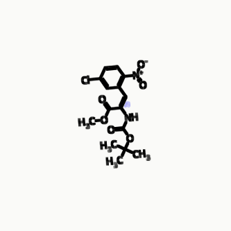 COC(=O)/C(=C\c1cc(Cl)ccc1[N+](=O)[O-])NC(=O)OC(C)(C)C